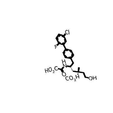 C[C@@](CCO)(C[C@@H](Cc1ccc(-c2cc(Cl)ccc2F)cc1)NC(=O)C(=O)O)C(=O)O